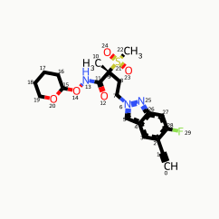 C#Cc1cc2cn(CC[C@](C)(C(=O)NOC3CCCCO3)S(C)(=O)=O)nc2cc1F